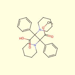 COC(=O)C(c1ccccc1)(N1CCCCC1)C(C(=O)O)(c1ccccc1)N1CCCCC1